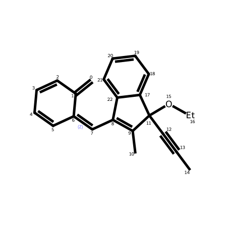 C=c1cccc/c1=C/C1=C(C)C(C#CC)(OCC)c2ccccc21